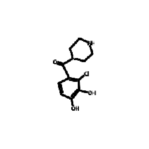 O=C(c1ccc(O)c(O)c1Cl)N1CCNCC1